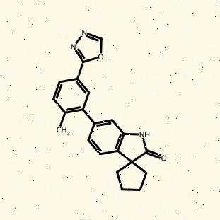 Cc1ccc(-c2nnco2)cc1-c1ccc2c(c1)NC(=O)C21CCCC1